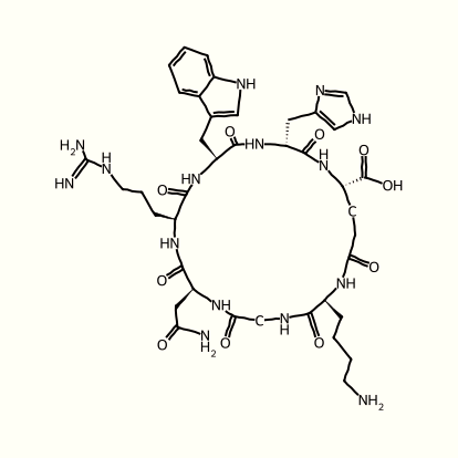 N=C(N)NCCC[C@@H]1NC(=O)[C@H](CC(N)=O)NC(=O)CNC(=O)[C@H](CCCCN)NC(=O)CC[C@@H](C(=O)O)NC(=O)[C@@H](Cc2c[nH]cn2)NC(=O)[C@H](Cc2c[nH]c3ccccc23)NC1=O